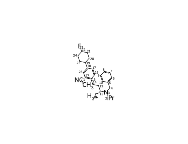 CC#N.CC(C)N(Cc1ccccc1)C(C)CCc1ccc(C2CCC(F)CC2)cc1